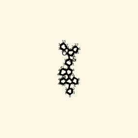 c1ccc(-c2c3ccccc3c(-c3ccc(-c4ccc5c(c4)sc4c6ccccc6c6c7ccccc7oc6c54)c4ccccc34)c3ccccc23)cc1